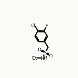 CCNS(=O)(=O)Cc1ccc(Cl)c(F)c1